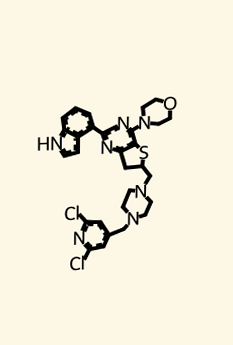 Clc1cc(CN2CCN(CC3Cc4nc(-c5cccc6[nH]ccc56)nc(N5CCOCC5)c4S3)CC2)cc(Cl)n1